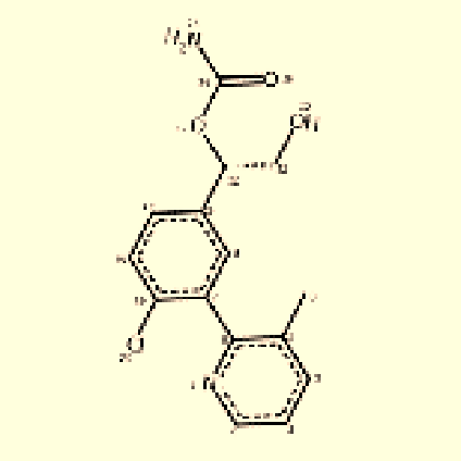 Cc1cccnc1-c1cc([C@@H](CO)OC(N)=O)ccc1Cl